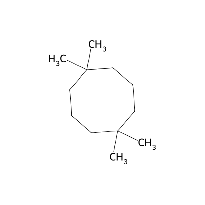 CC1(C)CCCC(C)(C)CCC1